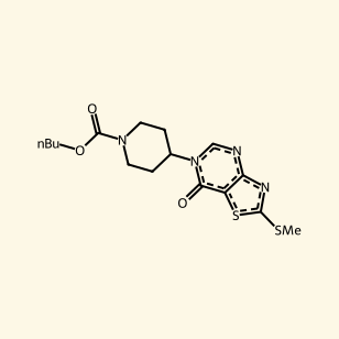 CCCCOC(=O)N1CCC(n2cnc3nc(SC)sc3c2=O)CC1